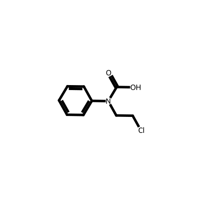 O=C(O)N(CCCl)c1ccccc1